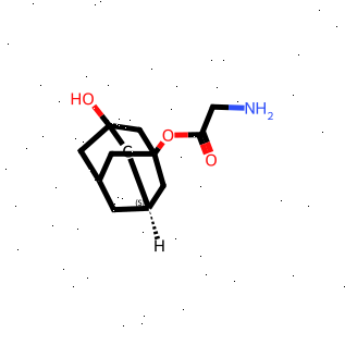 NCC(=O)OC12CC3C[C@@H](CC(O)(C3)C1)C2